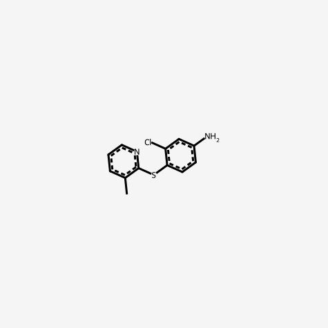 Cc1cccnc1Sc1ccc(N)cc1Cl